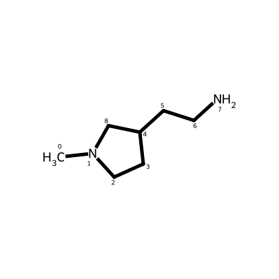 CN1CCC(CCN)C1